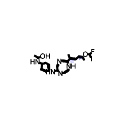 C/C(=C\C=C(/C)c1cncc(NC2=CCC(NC(C)O)C=C2)ncc[nH]1)OC(F)I